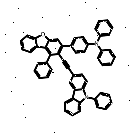 C(#Cc1c(-c2ccc(N(c3ccccc3)c3ccccc3)cc2)cc2oc3ccccc3c2c1-c1ccccc1)c1ccc2c(c1)c1ccccc1n2-c1ccccc1